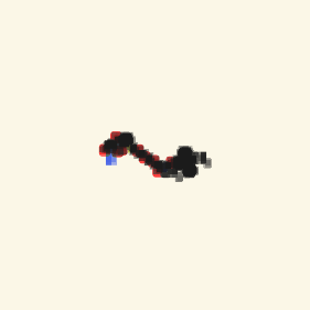 CCC(=C(c1ccccc1)c1ccc(OCCN(C)C(=O)CCOCCOCCOCCSc2cccc3c2C(=O)N(C2CCC(=O)NC2=O)C3=O)cc1)c1ccccc1